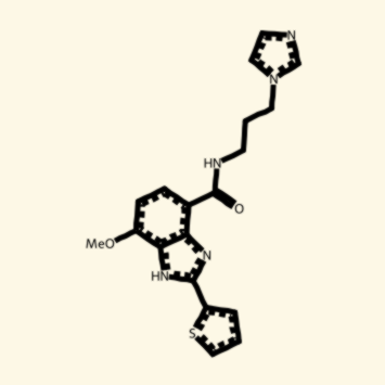 COc1ccc(C(=O)NCCCn2ccnc2)c2nc(-c3cccs3)[nH]c12